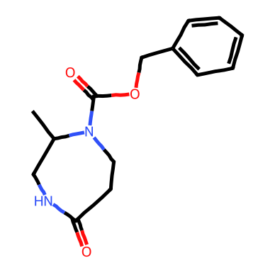 CC1CNC(=O)CCN1C(=O)OCc1ccccc1